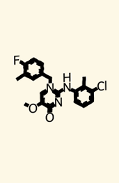 COc1cn(Cc2ccc(F)c(C)c2)c(Nc2cccc(Cl)c2C)nc1=O